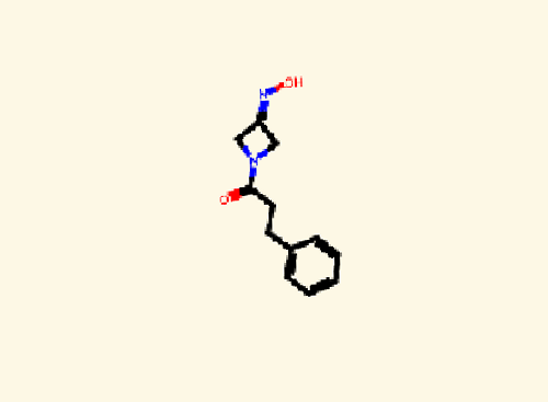 O=C(CCc1ccccc1)N1CC(=NO)C1